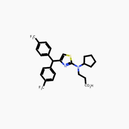 O=C(O)CCN(c1nc(C(c2ccc(C(F)(F)F)cc2)c2ccc(C(F)(F)F)cc2)cs1)C1CCCC1